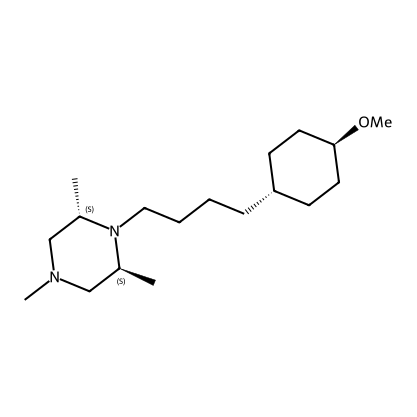 CO[C@H]1CC[C@H](CCCCN2[C@@H](C)CN(C)C[C@@H]2C)CC1